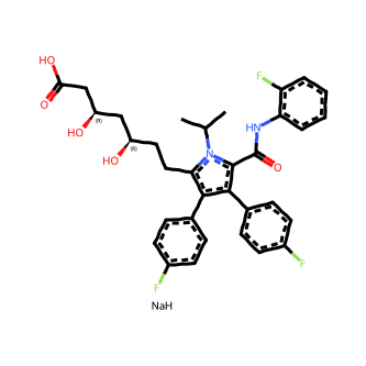 CC(C)n1c(CC[C@@H](O)C[C@@H](O)CC(=O)O)c(-c2ccc(F)cc2)c(-c2ccc(F)cc2)c1C(=O)Nc1ccccc1F.[NaH]